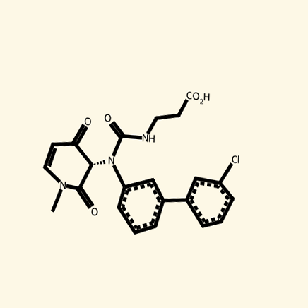 CN1C=CC(=O)[C@H](N(C(=O)NCCC(=O)O)c2cccc(-c3cccc(Cl)c3)c2)C1=O